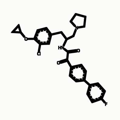 O=C(NC(Cc1ccc(OC2CC2)c(Cl)c1)CN1CCCC1)C(=O)c1ccc(-c2ccc(F)cc2)cc1